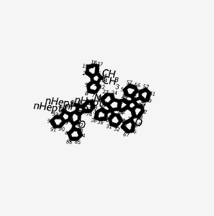 CCCCCCCC1(CCCCCCC)c2cc(N(c3ccc4c(c3)C(C)(C)c3ccccc3-4)c3ccc4c(c3)C(c3ccccc3)(c3ccccc3)c3cc5c(cc3-4)C(c3ccccc3)(c3ccccc3)c3ccc4oc6ccccc6c4c3-5)ccc2-c2c1c1c(c3c2oc2ccccc23)-c2ccccc2C1(CCCCCCC)CCCCCCC